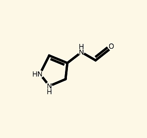 O=CNC1=CNNC1